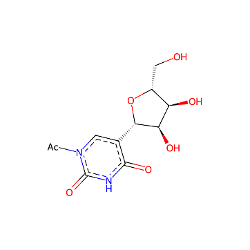 CC(=O)n1cc([C@@H]2O[C@H](CO)[C@@H](O)[C@H]2O)c(=O)[nH]c1=O